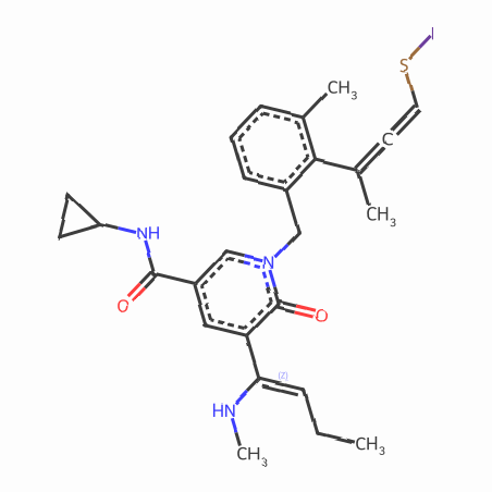 CC/C=C(\NC)c1cc(C(=O)NC2CC2)cn(Cc2cccc(C)c2C(C)=C=CSI)c1=O